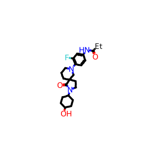 CCC(=O)Nc1ccc(N2CCCC3(CCN(C4CCC(O)CC4)C3=O)C2)c(F)c1